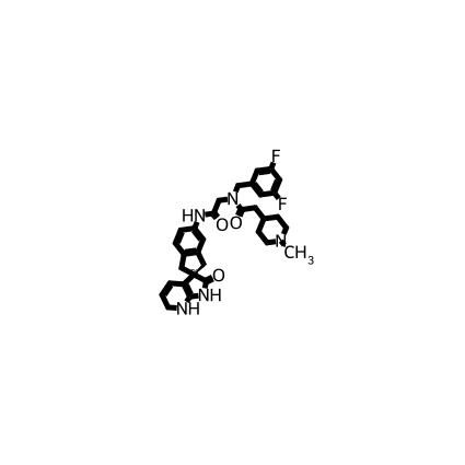 CN1CCC(CC(=O)N(CC(=O)Nc2ccc3c(c2)C[C@@]2(C3)C(=O)NC3=C2C=CCN3)Cc2cc(F)cc(F)c2)CC1